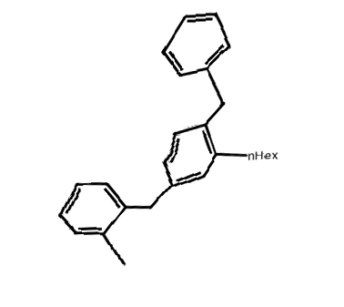 CCCCCCc1cc(Cc2ccccc2C)ccc1Cc1ccccc1